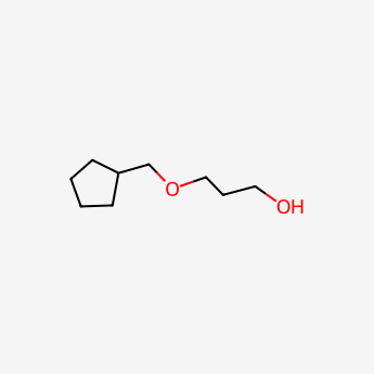 OCCCOCC1CCCC1